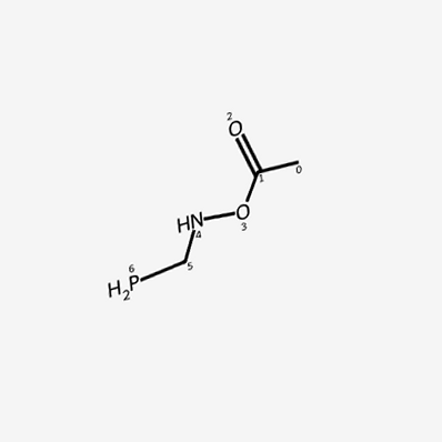 CC(=O)ONCP